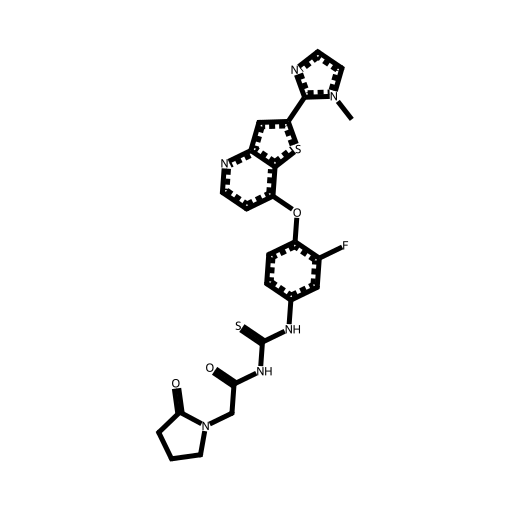 Cn1ccnc1-c1cc2nccc(Oc3ccc(NC(=S)NC(=O)CN4CCCC4=O)cc3F)c2s1